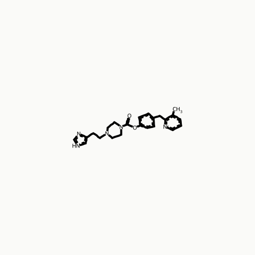 Cc1cccnc1Cc1ccc(OC(=O)N2CCN(CCc3c[nH]cn3)CC2)cc1